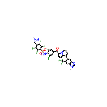 CNCc1c(F)c(F)c(S(=O)(=O)Nc2c(F)cc(C(=O)c3ccc4c(-c5cc6ncn(C)c6cc5C(F)(F)F)cccn34)cc2F)c(F)c1F